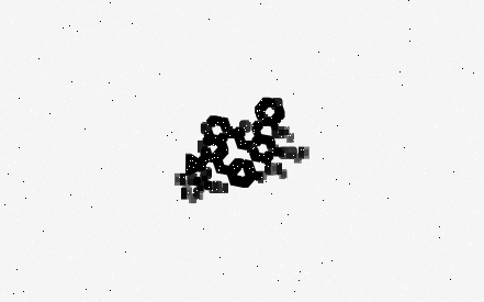 C[C@@H]1COCCN1C[C@H]1CN(C(=O)O)[C@H](C)CN1CC(=O)N1CCOc2nc(C3(O[Si](C)(C)C(C)(C)C)CC3)c(Cc3ccc(F)cc3)cc21